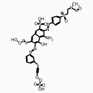 CN(CCS(=O)(=O)c1ccc(N=Nc2c(S(=O)(=O)O)cc3cc(SOOO)c(N=Nc4cccc(SC#COOS(=O)(=O)O)c4)c(O)c3c2N)cc1)N=O